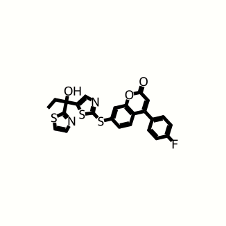 CCC(O)(c1cnc(Sc2ccc3c(-c4ccc(F)cc4)cc(=O)oc3c2)s1)c1nccs1